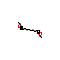 CCO[Si](C)(C)CCCCCCCC[Si](C)(C)OCC